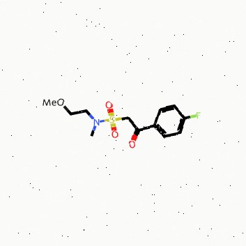 COCCN(C)S(=O)(=O)CC(=O)c1ccc(F)cc1